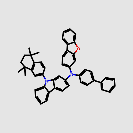 CC1(C)CCC(C)(C)c2cc(-n3c4ccccc4c4ccc(N(c5ccc(-c6ccccc6)cc5)c5ccc6c(c5)oc5ccccc56)cc43)ccc21